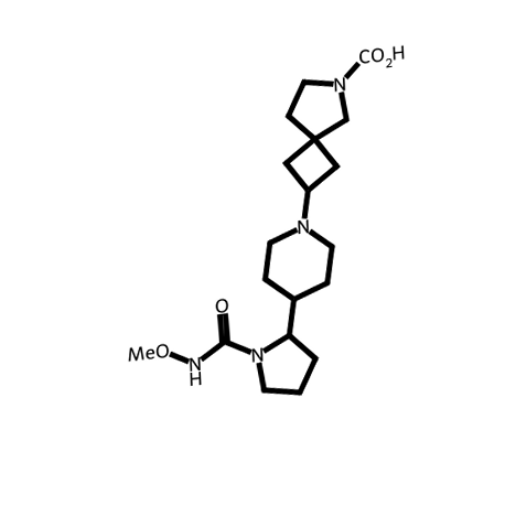 CONC(=O)N1CCCC1C1CCN(C2CC3(CCN(C(=O)O)C3)C2)CC1